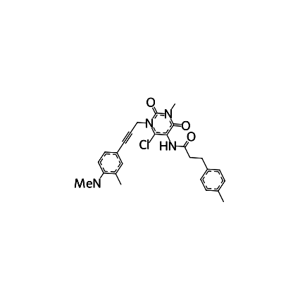 CNc1ccc(C#CCn2c(Cl)c(NC(=O)CCc3ccc(C)cc3)c(=O)n(C)c2=O)cc1C